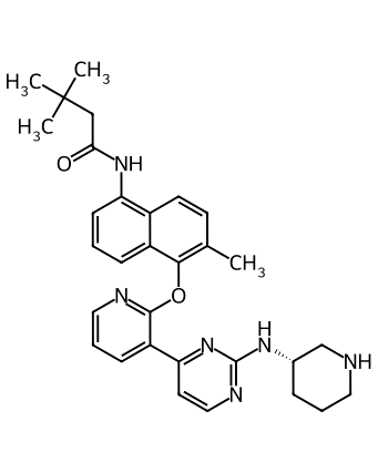 Cc1ccc2c(NC(=O)CC(C)(C)C)cccc2c1Oc1ncccc1-c1ccnc(N[C@H]2CCCNC2)n1